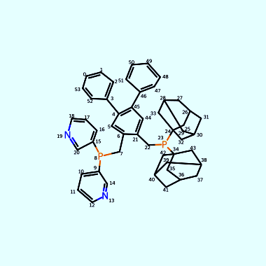 c1ccc(-c2cc(CP(c3cccnc3)c3cccnc3)c(CP(C34CC5CC(CC(C5)C3)C4)C34CC5CC(CC(C5)C3)C4)cc2-c2ccccc2)cc1